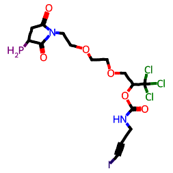 O=C(NCC#CI)OC(COCCOCCN1C(=O)CC(P)C1=O)C(Cl)(Cl)Cl